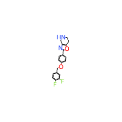 Fc1ccc(COc2ccc(-c3nc4c(o3)CCNC4)cc2)cc1F